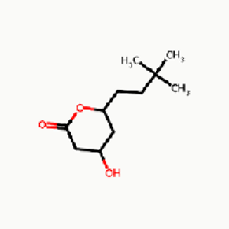 CC(C)(C)CCC1CC(O)CC(=O)O1